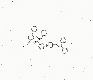 O=C(c1cccc(N2CCN(CCC(c3ccccc3)c3ccccc3)CC2)c1)N(Cc1cc(C(F)(F)F)ccc1-c1ccccc1)CC1CCCCC1